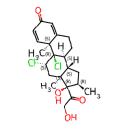 C[C@@H]1C[C@H]2[C@@H]3CCC4=CC(=O)C=C[C@]4(C)[C@@]3(Cl)[C@@H](Cl)C[C@]2(C)[C@@]1(O)C(=O)CO